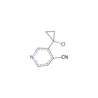 N#Cc1ccncc1C1(Cl)CC1